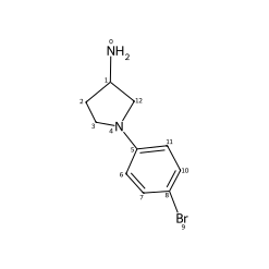 NC1CCN(c2ccc(Br)cc2)C1